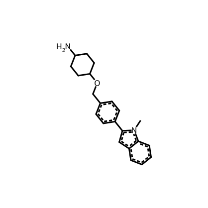 Cn1c(-c2ccc(COC3CCC(N)CC3)cc2)cc2ccccc21